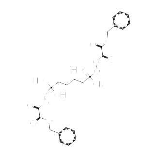 CC(C)(CCCCC(C)(C)OOC(=O)C(=O)OCc1ccccc1)OOC(=O)C(=O)OCc1ccccc1